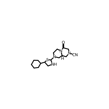 N#CN1CC(=O)N2CCN(C3NCC(C4CCCCC4)S3)C[C@H]2C1